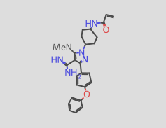 C=CC(=O)NC1CCC(n2nc(-c3ccc(Oc4ccccc4)cc3)c(C(=N)N)c2NC)CC1